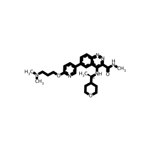 CNC(=O)c1nnc2ccc(-c3ccc(OCCCN(C)C)nc3)cc2c1N[C@H](C)C1CCOCC1